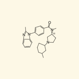 Cc1nc2ccccc2n1-c1ccc(C(=O)N(C)[C@H]2CCN(C3CCCC(C)C3)C2)cc1